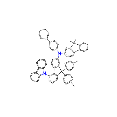 Cc1ccc(C2(c3ccc(C)cc3)c3cc(N(c4ccc(C5=CCCC=C5)cc4)c4ccc5c(c4)C(C)(C)c4ccccc4-5)ccc3-c3c(-n4c5ccccc5c5ccccc54)cccc32)cc1